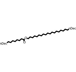 CCCCCCCCCCCCCCCCCCCCCCCCCCCCCOC(=O)CCCCCCCCCCCCCCCCC